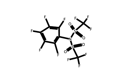 O=S(=O)(N(c1c(F)c(F)c(F)c(F)c1F)S(=O)(=O)C(F)(F)F)C(F)(F)F